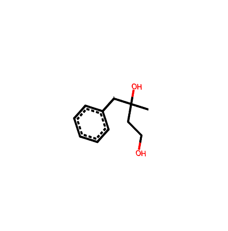 CC(O)([CH]c1ccccc1)CCO